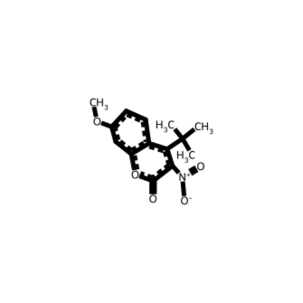 COc1ccc2c(C(C)(C)C)c([N+](=O)[O-])c(=O)oc2c1